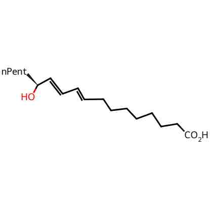 CCCCC[C@H](O)/C=C/C=C/CCCCCCCC(=O)O